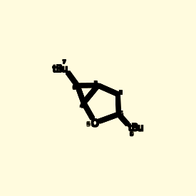 CC(C)(C)C1CC2C(O1)C2C(C)(C)C